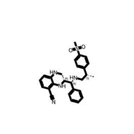 C[C@H](CN[C@H](c1ccccc1)[C@H]1CNc2cccc(C#N)c2N1)c1ccc(S(C)(=O)=O)cc1